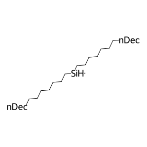 CCCCCCCCCCCCCCCCC[SiH]CCCCCCCCCCCCCCCCC